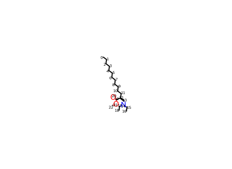 CCCCCCCCCCCCC(=CN(CC)CC)C(=O)OC